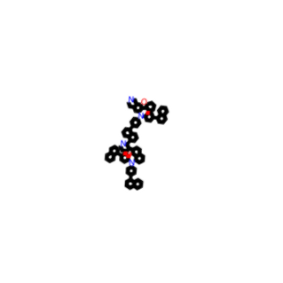 c1ccc2c(-c3ccc(N(c4ccc(-c5cccc6ccccc56)cc4)c4cccc5ccc6c(oc7ccnc(-c8cccc9c(-c%10ccc(N(c%11ccc(-c%12cccc%13ccccc%12%13)cc%11)c%11cc%12ccncc%12c%12oc%13ccccc%13c%11%12)cc%10)cccc89)c76)c45)cc3)cccc2c1